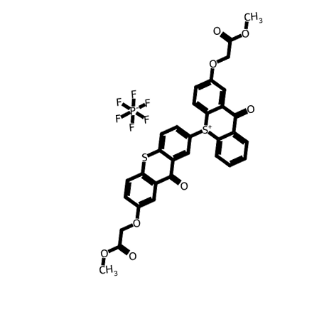 COC(=O)COc1ccc2sc3ccc(-[s+]4c5ccccc5c(=O)c5cc(OCC(=O)OC)ccc54)cc3c(=O)c2c1.F[P-](F)(F)(F)(F)F